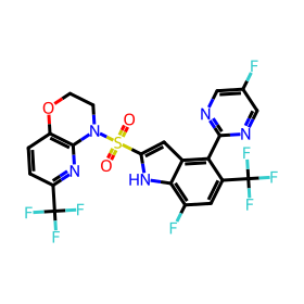 O=S(=O)(c1cc2c(-c3ncc(F)cn3)c(C(F)(F)F)cc(F)c2[nH]1)N1CCOc2ccc(C(F)(F)F)nc21